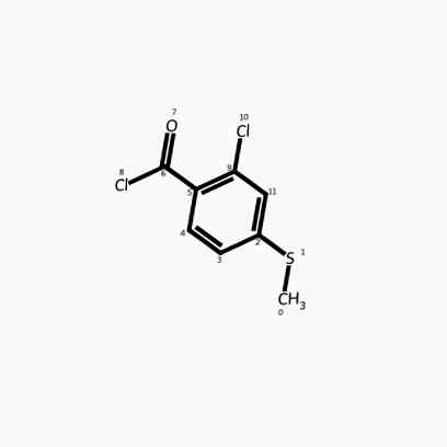 CSc1ccc(C(=O)Cl)c(Cl)c1